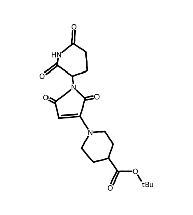 CC(C)(C)OC(=O)C1CCN(C2=CC(=O)N(C3CCC(=O)NC3=O)C2=O)CC1